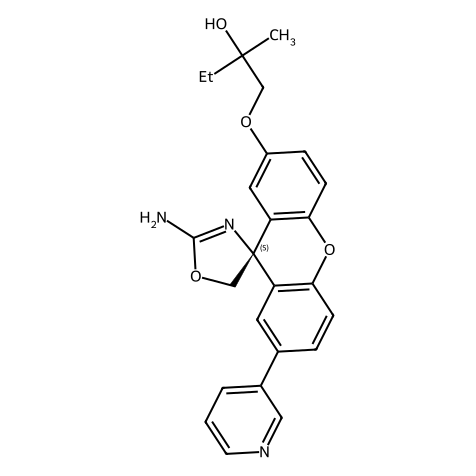 CCC(C)(O)COc1ccc2c(c1)[C@]1(COC(N)=N1)c1cc(-c3cccnc3)ccc1O2